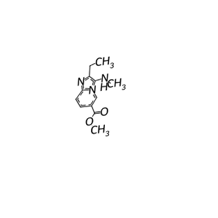 CCc1nc2ccc(C(=O)OC)cn2c1NC